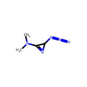 CN(C)C1=NC1N=[N+]=[N-]